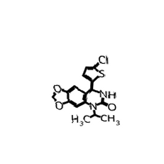 CC(C)N1C(=O)NC(c2ccc(Cl)s2)c2cc3c(cc21)OCO3